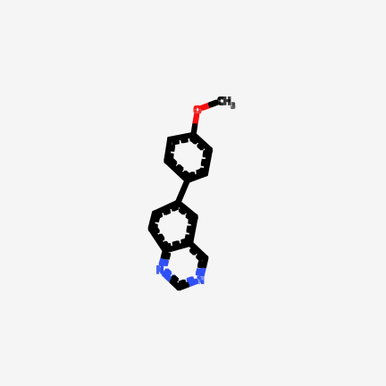 COc1ccc(-c2ccc3ncncc3c2)cc1